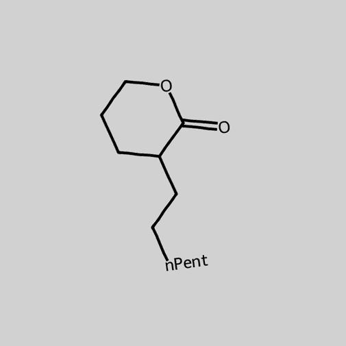 CCCCCCCC1CCCOC1=O